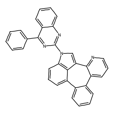 c1ccc(-c2nc(-n3cc4c5c(cccc53)-c3ccccc3-c3cccnc3-4)nc3ccccc23)cc1